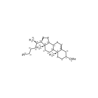 COC1CC[C@@]2(C)C(=CCC3C2CC[C@@]2(C)C3CC[C@@H]2[C@H](C)CCCC(C)C)C1